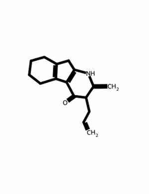 C=CCC1C(=C)NC2=C(C1=O)C1=C(CCCC1)C2